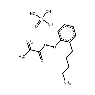 C=C(C)C(=O)OOc1ccccc1CCCCC.O=P(O)(O)O